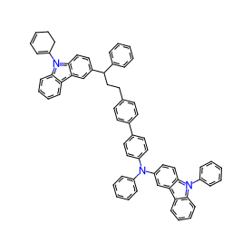 C1=CCCC(n2c3ccccc3c3cc(C(CCc4ccc(-c5ccc(N(c6ccccc6)c6ccc7c(c6)c6ccccc6n7-c6ccccc6)cc5)cc4)c4ccccc4)ccc32)=C1